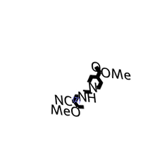 COC(=O)C1CCN(CCN/C=C(/C#N)C(C)OC)CC1